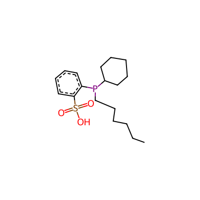 CCCCCCP(c1ccccc1S(=O)(=O)O)C1CCCCC1